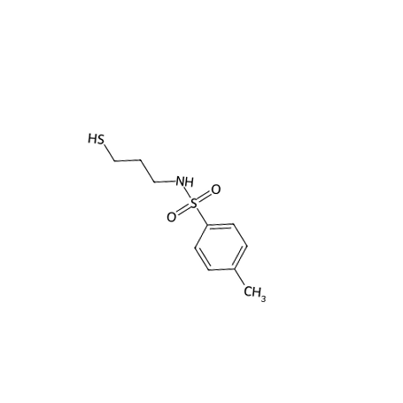 Cc1ccc(S(=O)(=O)NCCCS)cc1